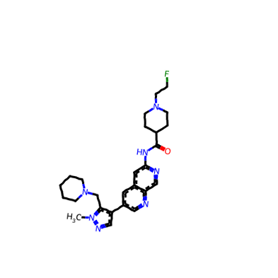 Cn1ncc(-c2cnc3cnc(NC(=O)C4CCN(CCF)CC4)cc3c2)c1CN1CCCCC1